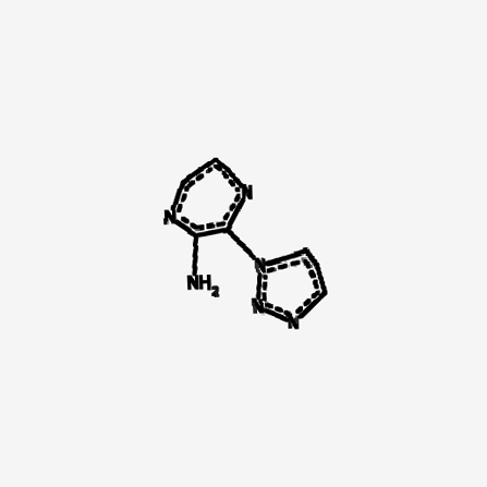 Nc1nccnc1-n1ccnn1